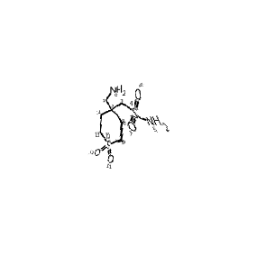 NCC1(CS(N)(=O)=O)CCS(=O)(=O)CC1